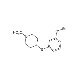 CCOc1cccc(SC2CCN(C(=O)O)CC2)c1